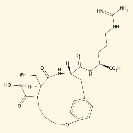 CC(C)C[C@H]1C(=O)N[C@H](C(=O)N[C@@H](CCCNC(=N)N)C(=O)O)Cc2ccc(cc2)OCCCC1C(=O)NO